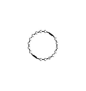 C1=CCCSCCSCCC=CCCCCCCCC1